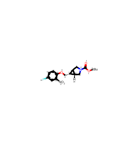 CC(C)(C)OC(=O)N1CC2[C@@H](COc3ccc(F)cc3[N+](=O)[O-])[C@H]2C1